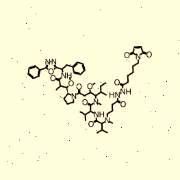 CCC(C)C(C(CC(=O)N1CCC[C@H]1C(OC)C(C)C(=O)NC(Cc1ccccc1)c1nnc(-c2ccccc2)o1)OC)N(C)C(=O)C(NC(=O)C(C(C)C)N(C)CCCC(=O)NNC(=O)CCCCCN1C(=O)C=CC1=O)C(C)C